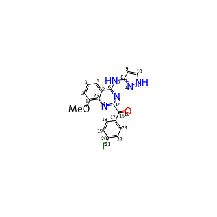 COc1cccc2c(Nc3cc[nH]n3)nc(C(=O)c3ccc(F)cc3)nc12